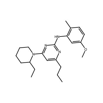 CCCc1cc(N2CCCCC2CC)nc(Nc2cc(OC)ccc2C)n1